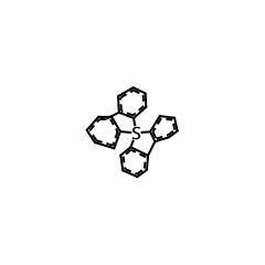 Cc1ccccc1S1(c2ccccc2)c2ccccc2-c2ccccc21